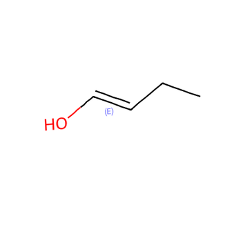 CC/C=C/O